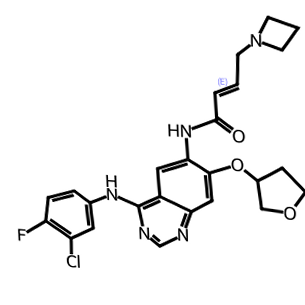 O=C(/C=C/CN1CCC1)Nc1cc2c(Nc3ccc(F)c(Cl)c3)ncnc2cc1OC1CCOC1